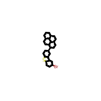 Brc1ccc2sc3ccc(-c4ccc5ccc6cccc7ccc4c5c67)cc3c2c1